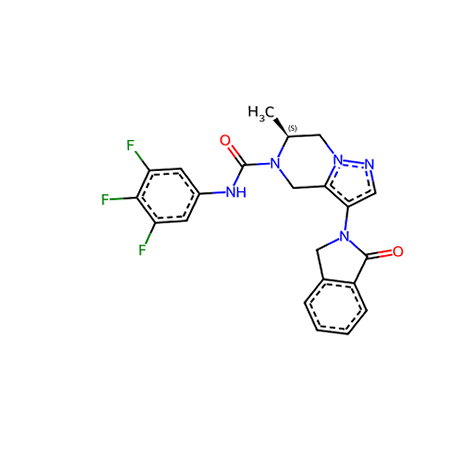 C[C@H]1Cn2ncc(N3Cc4ccccc4C3=O)c2CN1C(=O)Nc1cc(F)c(F)c(F)c1